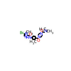 Cc1cc(NC(=O)c2ncc(Br)n2C)ccc1C(=O)N1CCN(C(=O)CN(C)C)CC1